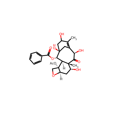 CC(=O)O[C@@]12CO[C@@H]1C[C@H](O)[C@@]1(C)C(=O)[C@H](O)C3=C(C)C(O)C[C@](O)(C3)[C@@H](OC(=O)c3ccccc3)[C@H]21